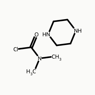 C1CNCCN1.CN(C)C(=O)Cl